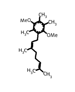 COc1c(C)c(C)c(OC)c(CC=C(C)CCC=C(C)C)c1C